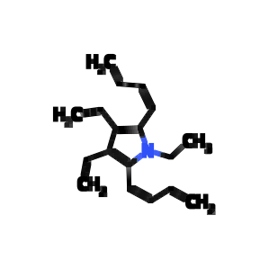 C=C/C=C\c1c(C=C)c(C=C)c(/C=C\C=C)n1CC